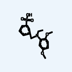 CCN(Cc1cccc(S(=O)(=O)O)c1)c1cc(OC)ccc1OC